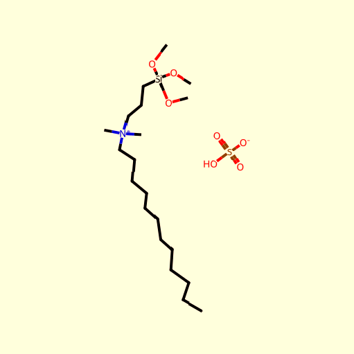 CCCCCCCCCCCC[N+](C)(C)CCC[Si](OC)(OC)OC.O=S(=O)([O-])O